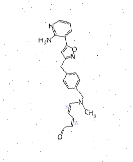 CN(/C=C\C=C/C=O)Cc1ccc(Cc2cc(-c3cccnc3N)on2)cc1